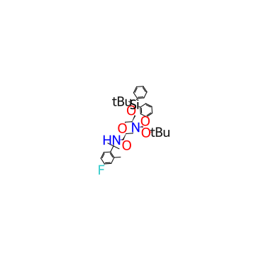 Cc1cc(F)ccc1C(C)(C)NC(=O)[C@@H]1CN(C(=O)OC(C)(C)C)[C@H](CO[Si](c2ccccc2)(c2ccccc2)C(C)(C)C)CO1